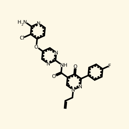 C=CCn1cc(C(=O)Nc2ncc(Oc3ccnc(N)c3Cl)cn2)c(=O)c(-c2ccc(F)cc2)n1